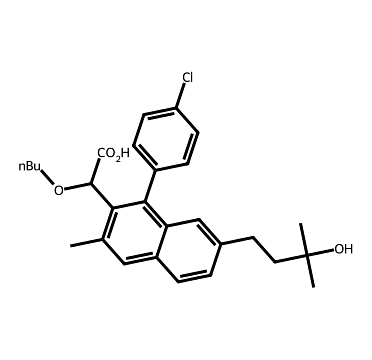 CCCCOC(C(=O)O)c1c(C)cc2ccc(CCC(C)(C)O)cc2c1-c1ccc(Cl)cc1